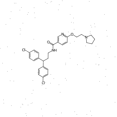 O=C(NCCC(c1ccc(Cl)cc1)c1ccc(Cl)cc1)c1ccc(OCCN2CCCC2)nc1